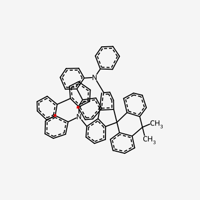 CC1(C)c2ccccc2C2(c3ccc(N(c4ccccc4)c4ccccc4-c4ccccc4)cc3-c3c(N(c4ccccc4)c4ccccc4-c4ccccc4)cccc32)c2ccccc21